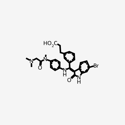 CN(C)CC(=O)N(C)c1ccc(N/C(=C2\C(=O)Nc3cc(Br)ccc32)c2cccc(CCC(=O)O)c2)cc1